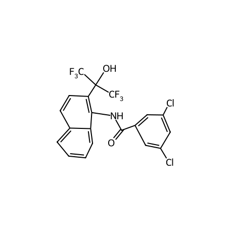 O=C(Nc1c(C(O)(C(F)(F)F)C(F)(F)F)ccc2ccccc12)c1cc(Cl)cc(Cl)c1